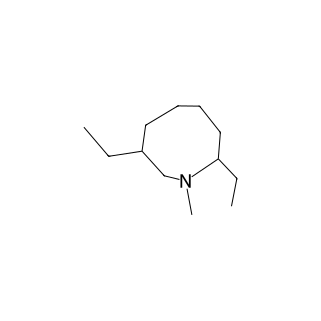 CCC1CCCCC(CC)N(C)C1